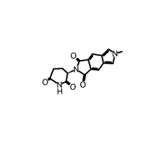 Cn1cc2cc3c(cc2c1)C(=O)N([C@@H]1CCC(=O)NC1=O)C3=O